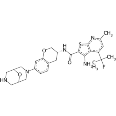 Cc1cc(C(C)(C)F)c2c(N)c(C(=O)N[C@H]3COc4cc(N5CC6CNCC(C5)O6)ccc4C3)sc2n1